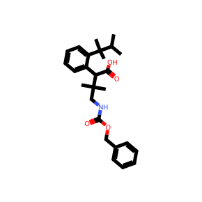 CC(C)C(C)(C)c1ccccc1C(C(=O)O)C(C)(C)CNC(=O)OCc1ccccc1